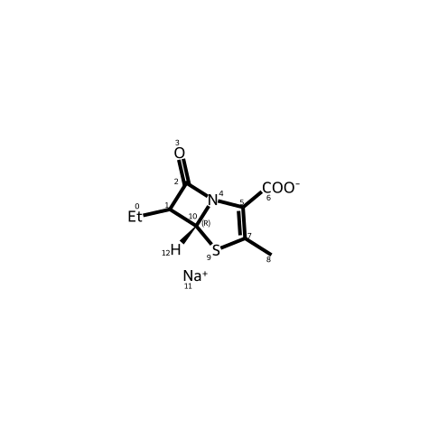 CCC1C(=O)N2C(C(=O)[O-])=C(C)S[C@H]12.[Na+]